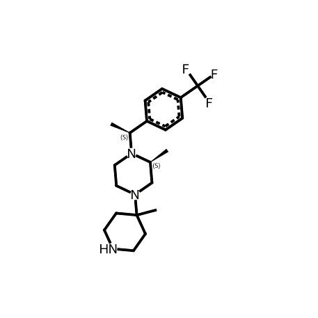 C[C@H]1CN(C2(C)CCNCC2)CCN1[C@@H](C)c1ccc(C(F)(F)F)cc1